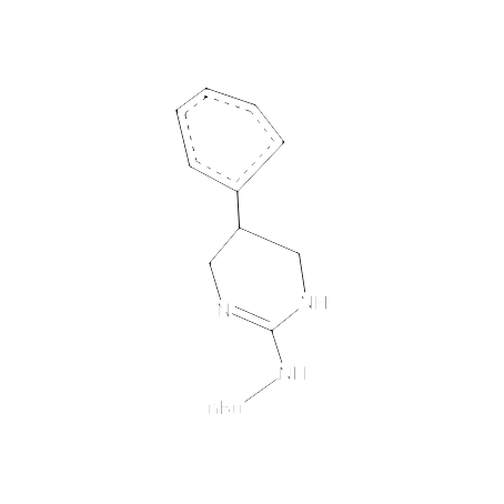 CCCCNC1=NCC(c2ccccc2)CN1